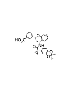 O=C(O)c1cccc([C@H]2C[C@@H](NC(=O)C3(c4ccc5c(c4)OC(F)(F)O5)CC3)c3ccncc3O2)c1